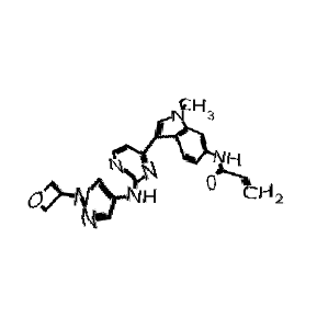 C=CC(=O)Nc1ccc2c(-c3ccnc(Nc4cnn(C5COC5)c4)n3)cn(C)c2c1